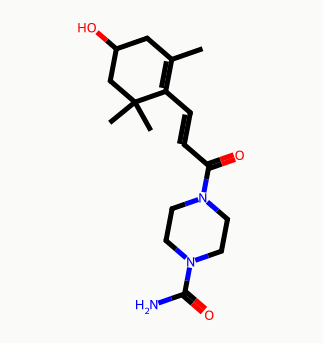 CC1=C(C=CC(=O)N2CCN(C(N)=O)CC2)C(C)(C)CC(O)C1